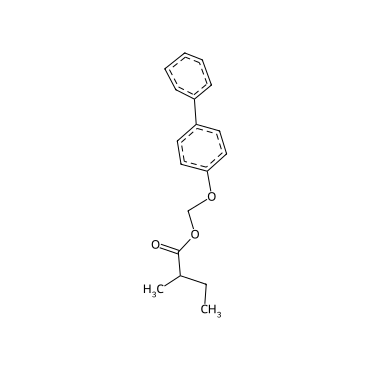 CCC(C)C(=O)OCOc1ccc(-c2ccccc2)cc1